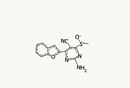 C[S+]([O-])c1nc(N)nc(-c2cc3ccccc3o2)c1C#N